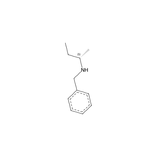 CC[C@H](C)NCc1ccccc1